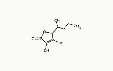 CCCC(O)C1OC(=O)C(O)=C1O